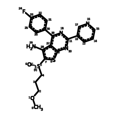 COCCC[S@+]([O-])c1sc2nc(-c3cccnc3)nc(-c3ccc(F)cc3)c2c1N